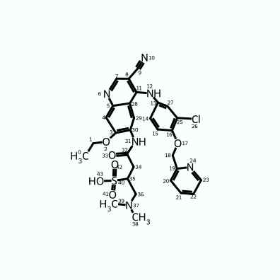 CCOc1cc2ncc(C#N)c(Nc3ccc(OCc4ccccn4)c(Cl)c3)c2cc1NC(=O)CC(CN(C)C)S(=O)(=O)O